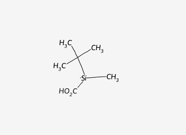 C[Si](C(=O)O)C(C)(C)C